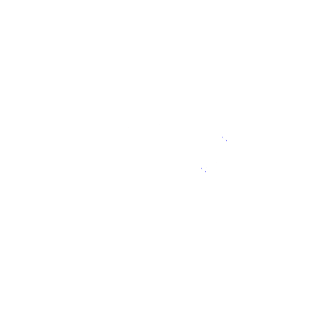 COc1ccc2nonc2c1-c1cc(C)cc(C)c1